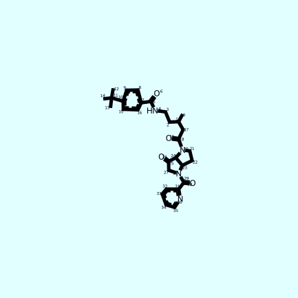 CC(CCNC(=O)c1ccc(C(C)(C)C)cc1)CC(=O)N1CCC2C1C(=O)CN2C(=O)c1ccccn1